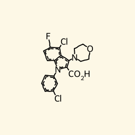 O=C(O)c1c(N2CCOCC2)c2c(Cl)c(F)ccc2n1-c1cccc(Cl)c1